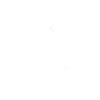 COc1nc(-c2cccc(F)c2)sc1C(=O)C1CCCO1